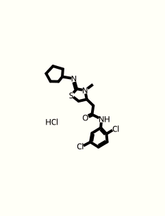 CN1C(=NC2CCCCC2)SCC1CC(=O)Nc1cc(Cl)ccc1Cl.Cl